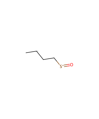 C[CH]CC[S+]=O